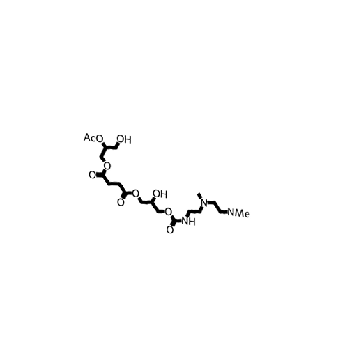 CNCCN(C)CCNC(=O)OCC(O)COC(=O)CCC(=O)OCC(CO)OC(C)=O